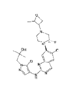 CC1OCC1N1CC[C@H](c2cc3nc(Nc4cnn(CC(C)(C)O)c4Cl)ncc3cc2Cl)[C@@H](F)C1